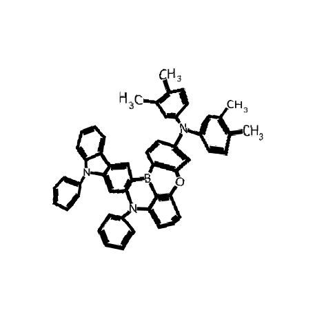 Cc1ccc(N(c2ccc(C)c(C)c2)c2ccc3c(c2)Oc2cccc4c2B3c2cc3c5ccccc5n(-c5ccccc5)c3cc2N4c2ccccc2)cc1C